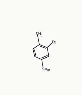 CCc1cc(SC)ccc1C